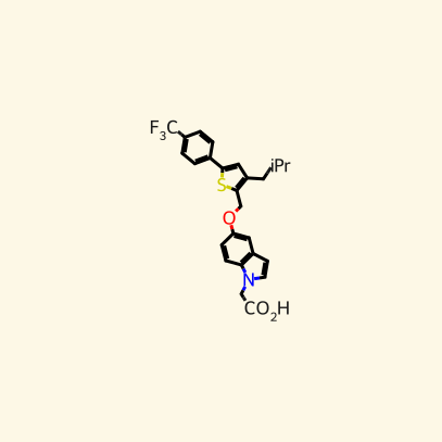 CC(C)Cc1cc(-c2ccc(C(F)(F)F)cc2)sc1COc1ccc2c(ccn2CC(=O)O)c1